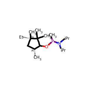 CC[C@@]1(C)C[C@@H](C)C(OP(C)N(C(C)C)C(C)C)C1(C)C